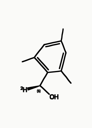 [2H][C@H](O)c1c(C)cc(C)cc1C